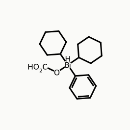 O=C(O)[O][BiH]([c]1ccccc1)([CH]1CCCCC1)[CH]1CCCCC1